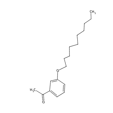 CCCCCCCCCCOc1cccc(C(C)=O)c1